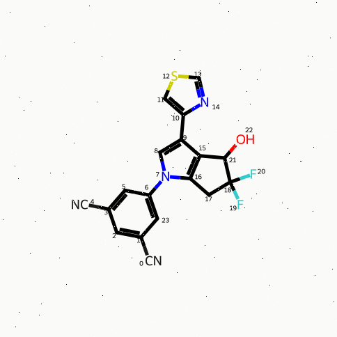 N#Cc1cc(C#N)cc(-n2cc(-c3cscn3)c3c2CC(F)(F)C3O)c1